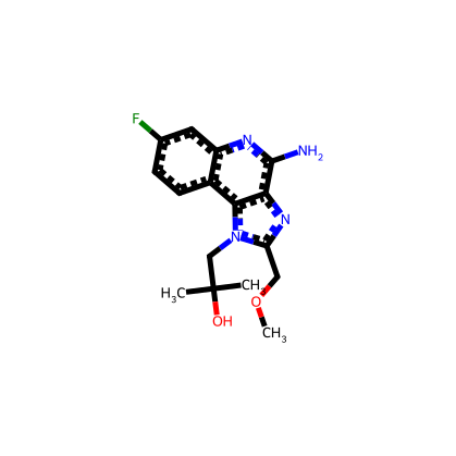 COCc1nc2c(N)nc3cc(F)ccc3c2n1CC(C)(C)O